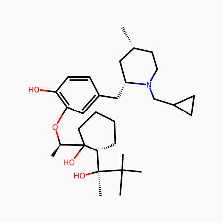 C[C@@H]1CCN(CC2CC2)[C@H](Cc2ccc(O)c(O[C@H](C)C3(O)CCCC[C@@H]3[C@](C)(O)C(C)(C)C)c2)C1